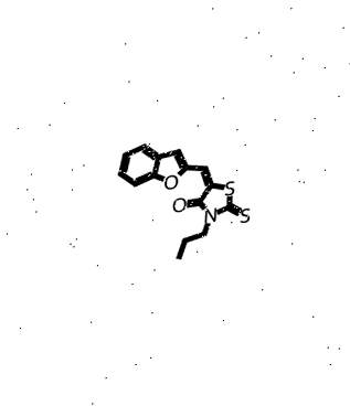 CCCN1C(=O)/C(=C\c2cc3ccccc3o2)SC1=S